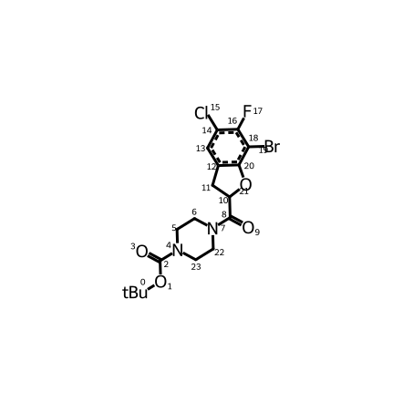 CC(C)(C)OC(=O)N1CCN(C(=O)C2Cc3cc(Cl)c(F)c(Br)c3O2)CC1